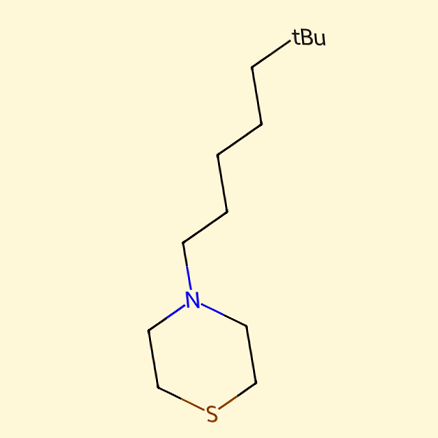 CC(C)(C)CCCCCN1CCSCC1